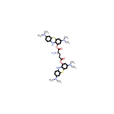 CN(C)c1ccc2c(c1)Sc1cc(N(C)C)cc(OC(=O)CC[C@H](N)C(=O)Oc3cc(N(C)C)cc4c3Nc3ccc(N(C)C)cc3S4)c1N2